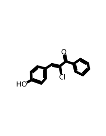 O=C(C(Cl)=Cc1ccc(O)cc1)c1ccccc1